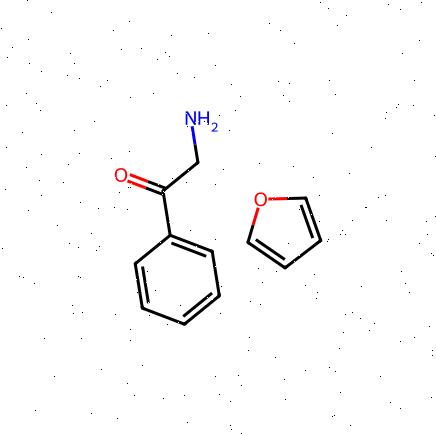 NCC(=O)c1ccccc1.c1ccoc1